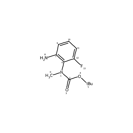 CN(C(=O)OC(C)(C)C)c1c(N)cccc1F